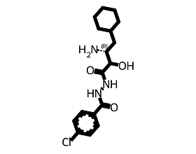 N[C@H](CC1CCCCC1)C(O)C(=O)NNC(=O)c1ccc(Cl)cc1